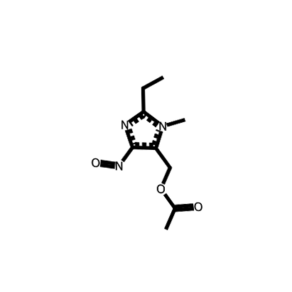 CCc1nc(N=O)c(COC(C)=O)n1C